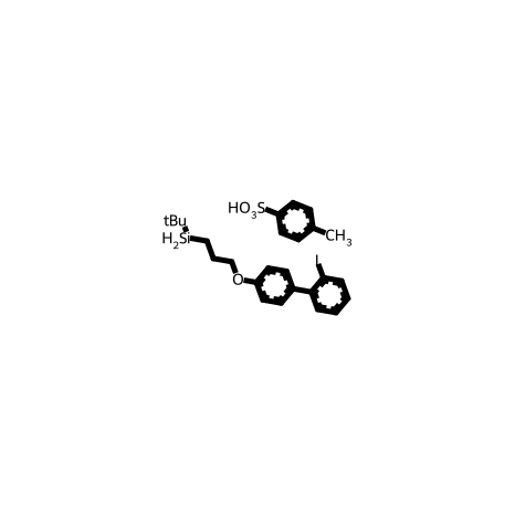 CC(C)(C)[SiH2]CCCOc1ccc(-c2ccccc2I)cc1.Cc1ccc(S(=O)(=O)O)cc1